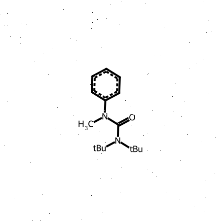 CN(C(=O)N(C(C)(C)C)C(C)(C)C)c1ccccc1